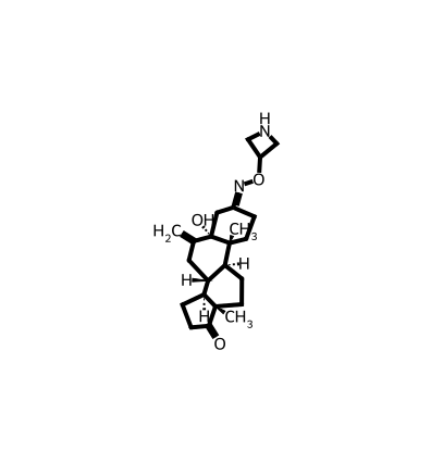 C=C1C[C@H]2[C@@H]3CCC(=O)[C@@]3(C)CC[C@@H]2[C@@]2(C)CC/C(=N\OC3CNC3)C[C@]12O